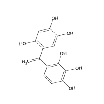 C=C(c1cc(O)c(O)cc1O)c1ccc(O)c(O)c1O